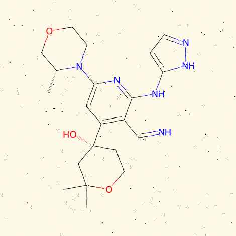 C[C@@H]1COCCN1c1cc([C@@]2(O)CCOC(C)(C)C2)c(C=N)c(Nc2ccn[nH]2)n1